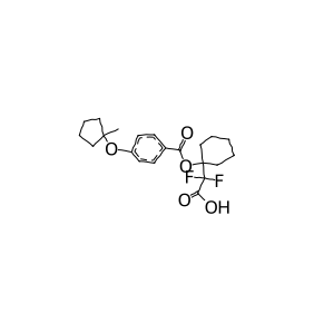 CC1(Oc2ccc(C(=O)OC3(C(F)(F)C(=O)O)CCCCC3)cc2)CCCC1